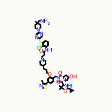 Cc1ncsc1-c1ccc(CNC(=O)[C@@H]2C[C@@H](O)CN2C(=O)[C@@H](NC(=O)C2(F)CC2)C(C)(C)C)c(OCCCC2CCN(CCC(=O)Nc3cccc(Sc4cnc(N5CCC(C)(CN)CC5)cn4)c3Cl)CC2)c1